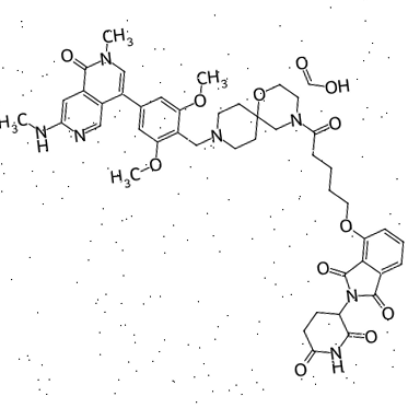 CNc1cc2c(=O)n(C)cc(-c3cc(OC)c(CN4CCC5(CC4)CN(C(=O)CCCCOc4cccc6c4C(=O)N(C4CCC(=O)NC4=O)C6=O)CCO5)c(OC)c3)c2cn1.O=CO